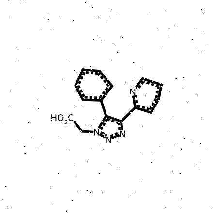 O=C(O)Cn1nnc(-c2ccccn2)c1-c1ccccc1